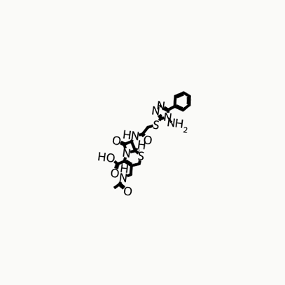 CC(=O)NCC1=C(C(=O)O)N2C(=O)C(NC(=O)CSc3nnc(-c4ccccc4)n3N)[C@@H]2SC1